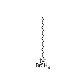 C.CCCCCCCCCCCCCCCC[N+](C)(C)C.[Br-]